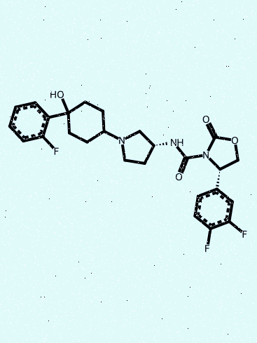 O=C(N[C@@H]1CCN(C2CCC(O)(c3ccccc3F)CC2)C1)N1C(=O)OC[C@@H]1c1ccc(F)c(F)c1